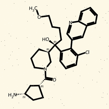 COCCCC[C@](O)(c1cccc(Cl)c1-c1cnc2ccccc2c1)[C@@H]1CCCN(C(=O)[C@@H]2CC[C@H](N)C2)C1